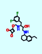 CCc1ccc2c(c1)C(NCC(O)C(Cc1cc(F)cc(F)c1)NCOc1cc(=O)c1=O)CCC2